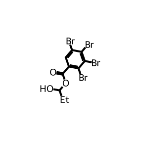 CCC(O)OC(=O)c1cc(Br)c(Br)c(Br)c1Br